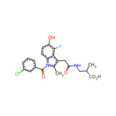 Cc1c(CC(=O)NCC(C)C(=O)O)c2c(F)c(O)ccc2n1C(=O)c1cccc(Cl)c1